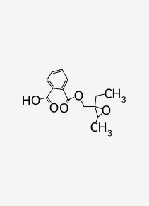 CCC1(COC(=O)c2ccccc2C(=O)O)OC1C